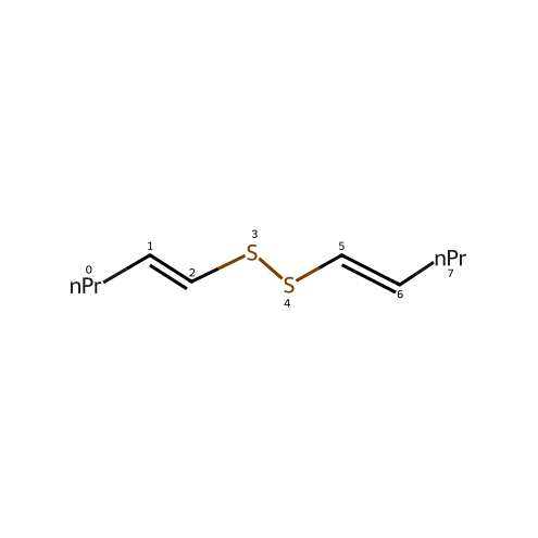 CCCC=CSSC=CCCC